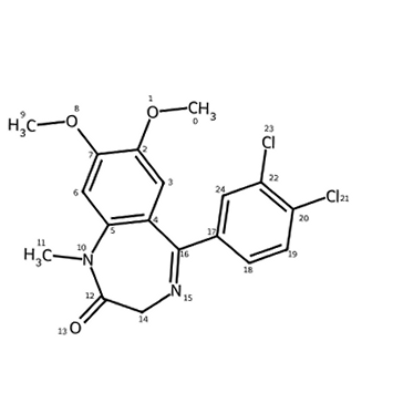 COc1cc2c(cc1OC)N(C)C(=O)CN=C2c1ccc(Cl)c(Cl)c1